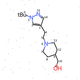 CC(C)(C)n1cc(CCN2CCC(CO)CC2)cn1